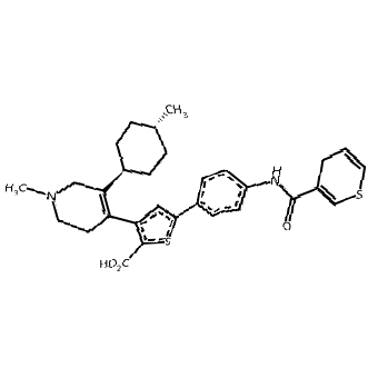 CN1CCC(c2cc(-c3ccc(NC(=O)C4=CSC=CC4)cc3)sc2C(=O)O)=C([C@H]2CC[C@H](C)CC2)C1